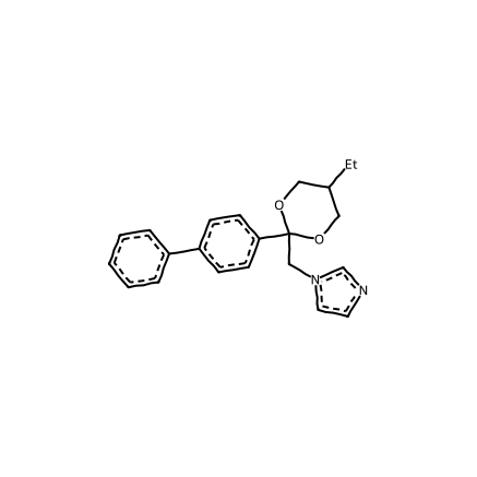 CCC1COC(Cn2ccnc2)(c2ccc(-c3ccccc3)cc2)OC1